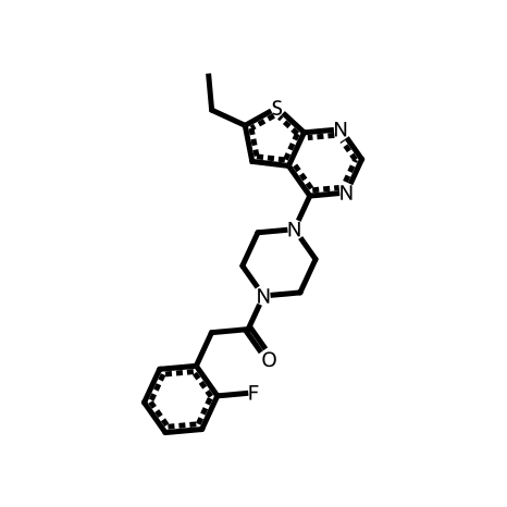 CCc1cc2c(N3CCN(C(=O)Cc4ccccc4F)CC3)ncnc2s1